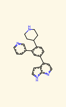 c1cncc(-c2cc(-c3ccnc4[nH]ccc34)ccc2C2CCNCC2)c1